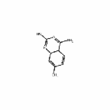 CC1=CC2N=C(O)N=C(N)C2C=C1